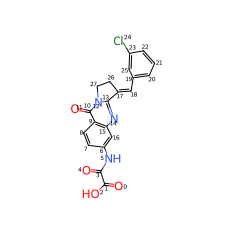 O=C(O)C(=O)Nc1ccc2c(=O)n3c(nc2c1)/C(=C/c1cccc(Cl)c1)CC3